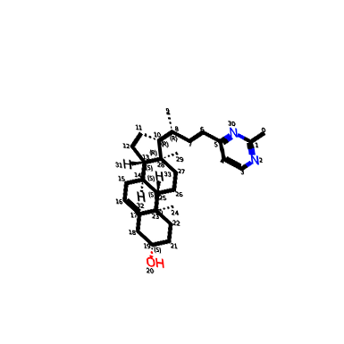 Cc1nccc(CC[C@@H](C)[C@H]2CC[C@H]3[C@@H]4CC=C5C[C@@H](O)CC[C@]5(C)[C@H]4CC[C@]23C)n1